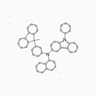 CC1(c2cccc(N(c3ccc4c(c3)c3ccccc3n4-c3ccccc3)c3cccc4ccccc34)c2)c2ccccc2-c2ccccc21